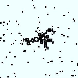 CCCCN1C(=O)C(=C(N)N)C(=O)N(C2CCC3(CC2)CC(C(=O)O)C3)C1=O